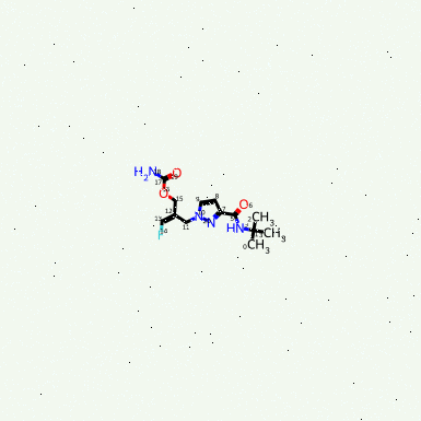 CC(C)(C)NC(=O)c1ccn(C/C(=C\F)COC(N)=O)n1